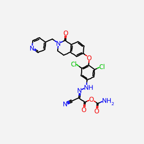 N#CC(=NNc1cc(Cl)c(Oc2ccc3c(c2)CCN(Cc2ccncc2)C3=O)c(Cl)c1)C(=O)OC(N)=O